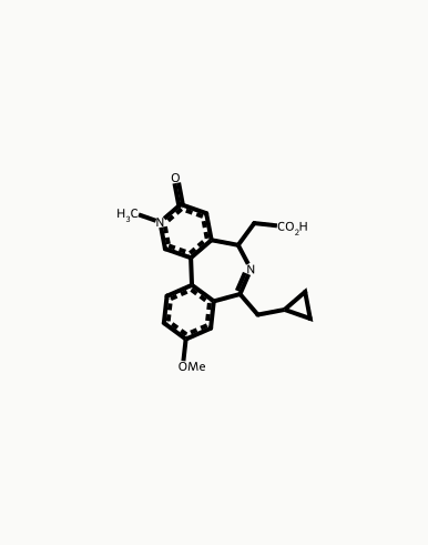 COc1ccc2c(c1)C(CC1CC1)=NC(CC(=O)O)c1cc(=O)n(C)cc1-2